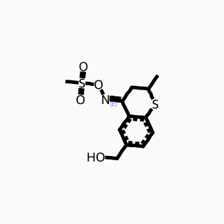 CC1C/C(=N\OS(C)(=O)=O)c2cc(CO)ccc2S1